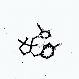 CC1(C)CC[C@H](Cc2ccc(Cl)cc2)C1(O)Cn1ncnc1I